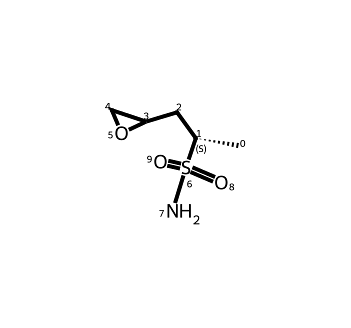 C[C@@H](CC1CO1)S(N)(=O)=O